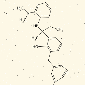 CCC(C)(Pc1ccccc1N(C)C)c1cccc(Cc2ccccc2)c1O